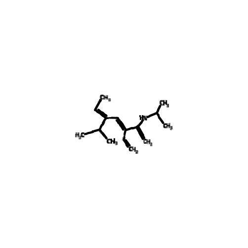 C=C/C(=C\C(=C/C)C(C)C)C(=C)NC(C)C